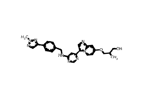 CC(CO)COc1ccn2c(-c3cc(NCc4ccc(-c5cnn(C)n5)cc4)ncn3)cnc2c1